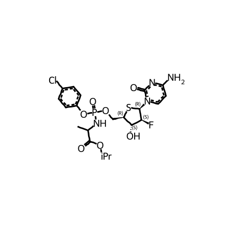 CC(C)OC(=O)C(C)NP(=O)(OC[C@H]1S[C@@H](n2ccc(N)nc2=O)[C@@H](F)[C@@H]1O)Oc1ccc(Cl)cc1